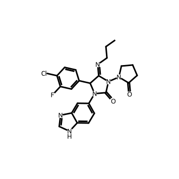 CCCN=C1C(c2ccc(Cl)c(F)c2)N(c2ccc3[nH]cnc3c2)C(=O)N1N1CCCC1=O